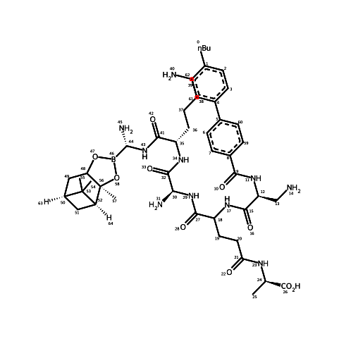 CCCCc1ccc(-c2ccc(C(=O)N[C@@H](CN)C(=O)NC(CCC(=O)N[C@H](C)C(=O)O)C(=O)N[C@@H](N)C(=O)N[C@@H](CCCCN)C(=O)N[C@@H](N)B3OC4C[C@@H]5C[C@@H](C5(C)C)[C@]4(C)O3)cc2)cc1